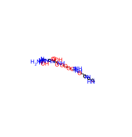 C/C=C(\C=C/C(C)=N)c1ccc(N2CCC=C(CCCOCCN/C=C(/COCCOCCOCCOCCNC(=O)CC[C@H](NC(=O)c3ccc(NCc4cnc5nc(N)nc(O)c5n4)cc3)C(=O)O)N=N)CC2)nc1